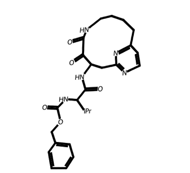 CC(C)C(NC(=O)OCc1ccccc1)C(=O)NC1Cc2nccc(n2)CCCCNC(=O)C1=O